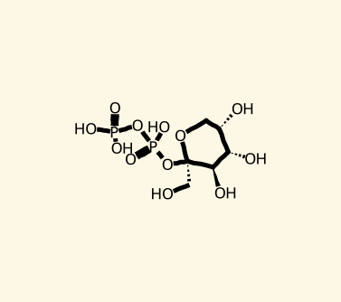 O=P(O)(O)OP(=O)(O)O[C@@]1(CO)OC[C@H](O)[C@H](O)[C@H]1O